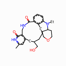 CCN(c1cccc2c1CCCC(CO)Cc1cc(C)[nH]c(=O)c1CNC2=O)C1CCOCC1